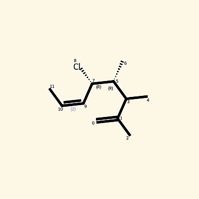 C=C(C)C(C)[C@@H](C)[C@@H](Cl)/C=C\C